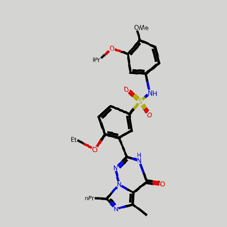 CCCc1nc(C)c2c(=O)[nH]c(-c3cc(S(=O)(=O)Nc4ccc(OC)c(OC(C)C)c4)ccc3OCC)nn12